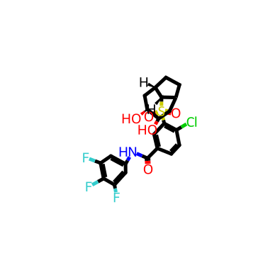 O=C(Nc1cc(F)c(F)c(F)c1)c1ccc(Cl)c(S(=O)(=O)[C@H]2C3CC[C@H]2C[C@H](O)C(O)C3)c1